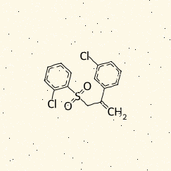 C=C(CS(=O)(=O)c1ccccc1Cl)c1cccc(Cl)c1